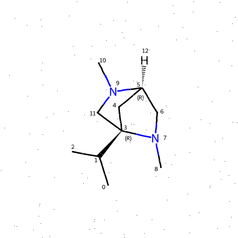 CC(C)[C@@]12C[C@H](CN1C)N(C)C2